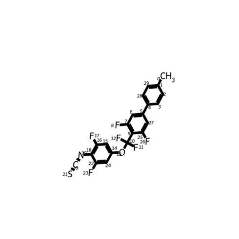 Cc1ccc(-c2cc(F)c(C(F)(F)Oc3cc(F)c(N=C=S)c(F)c3)c(F)c2)cc1